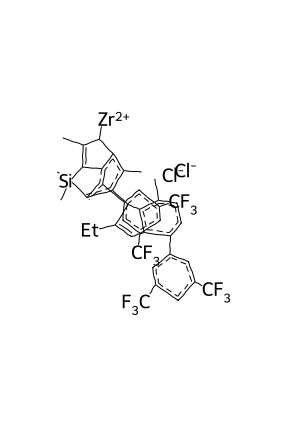 CCC1=Cc2c(-c3cc(C(F)(F)F)cc(C(F)(F)F)c3)ccc(C)c2C1c1c(C)c2c3c(-c4cc(C(F)(F)F)cc(C(F)(F)F)c4)c1[Si](C)(C)C3=C(C)[CH]2[Zr+2].[Cl-].[Cl-]